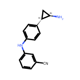 N#Cc1cccc(Nc2ccc([C@@H]3C[C@H]3N)cc2)c1